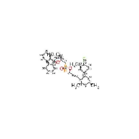 Cc1cc(C)c(C#CCO[PH](=O)CC(CC(=O)O)O[Si](c2ccccc2)(c2ccccc2)C(C)(C)C)c(-c2ccc(F)c(C)c2)c1